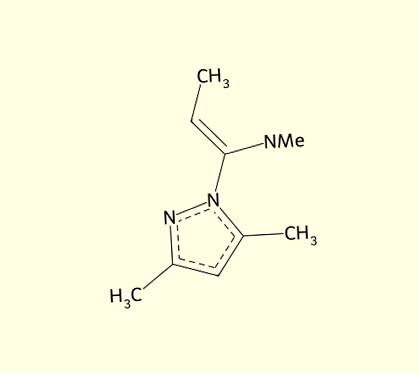 C/C=C(\NC)n1nc(C)cc1C